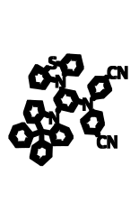 N#Cc1ccc(N(c2ccc(C#N)cc2)c2cc(N3c4ccccc4Sc4ccccc43)cc(N3c4ccccc4C(c4ccccc4)(c4ccccc4)c4ccccc43)c2)cc1